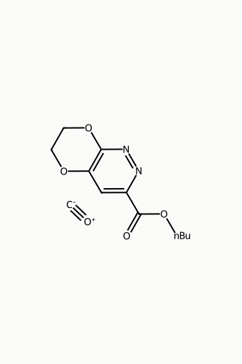 CCCCOC(=O)c1cc2c(nn1)OCCO2.[C-]#[O+]